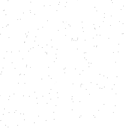 O=C1CN=C(c2ccccc2F)c2c(ccc(Br)c2Cl)N1